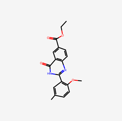 CCOC(=O)c1ccc2nc(-c3cc(C)ccc3OC)[nH]c(=O)c2c1